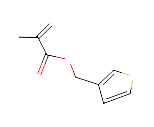 C=C(C)C(=O)OCc1ccsc1